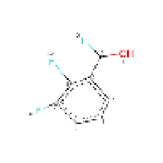 OC(F)c1cccc(F)c1F